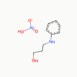 O=[N+]([O-])O.OCCCNc1ccccc1